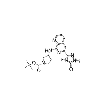 CC(C)(C)OC(=O)N1CCC(Nc2nc(-c3n[nH]c(=O)[nH]3)cc3cccnc23)C1